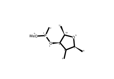 COP(C)O[C@@H]1C(C)[C@H](C)O[C@@H]1C